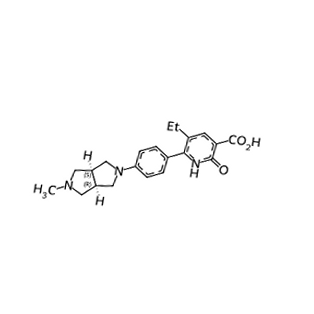 CCc1cc(C(=O)O)c(=O)[nH]c1-c1ccc(N2C[C@H]3CN(C)C[C@H]3C2)cc1